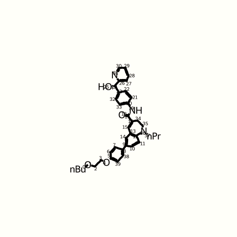 CCCCOCCOc1ccc(-c2ccc3c(c2)C=C(C(=O)Nc2ccc([C@H](O)c4ccccn4)cc2)CCN3CCC)cc1